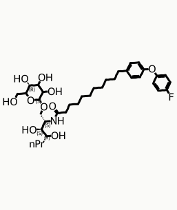 CCC[C@@H](O)[C@@H](O)[C@H](CO[C@H]1OC(CO)[C@H](O)C(O)C1O)NC(=O)CCCCCCCCCCc1ccc(Oc2ccc(F)cc2)cc1